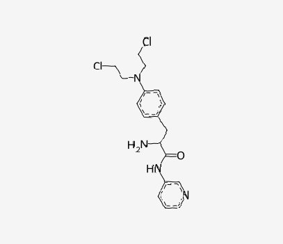 NC(Cc1ccc(N(CCCl)CCCl)cc1)C(=O)Nc1cccnc1